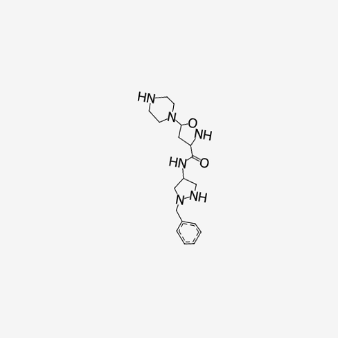 O=C(NC1CNN(Cc2ccccc2)C1)C1CC(N2CCNCC2)ON1